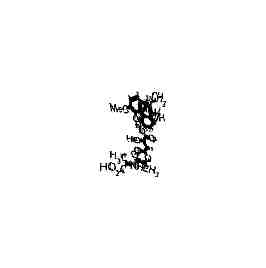 COc1ccc2c3c1O[C@@H]1C(OC(=O)[C@@H](O)CC(=O)O[C@@H](C)C(=O)N[C@@H](C)C(=O)O)=CC[C@]4(O)[C@H](C2)N(C)CC[C@@]314